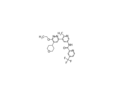 CCOc1nnc(-c2cc(NC(=O)c3cc(C(F)(F)F)ccn3)cnc2C)cc1C1CCOCC1